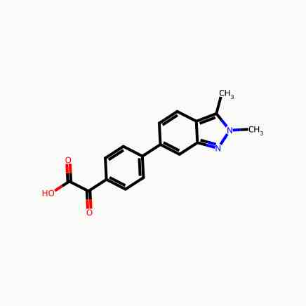 Cc1c2ccc(-c3ccc(C(=O)C(=O)O)cc3)cc2nn1C